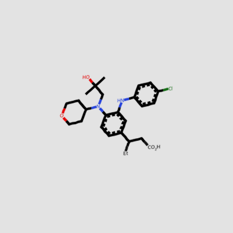 CCC(CC(=O)O)c1ccc(N(CC(C)(C)O)C2CCOCC2)c(Nc2ccc(Cl)cc2)c1